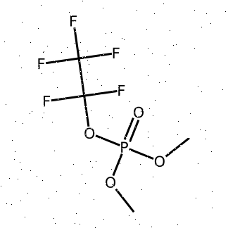 COP(=O)(OC)OC(F)(F)C(F)(F)F